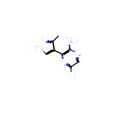 Cc1n[nH]cc1-c1nc(Cl)cnc1N